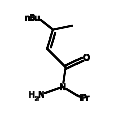 CCCC/C(C)=C/C(=O)N(N)C(C)C